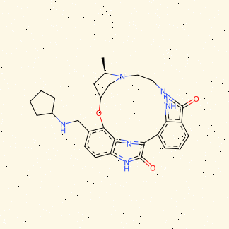 C[C@@H]1CC2CN1CCn1[nH]c3c(cccc3c1=O)-c1nc3c(c(CNC4CCCC4)ccc3[nH]c1=O)O2